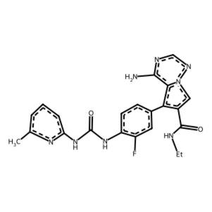 CCNC(=O)c1cn2ncnc(N)c2c1-c1ccc(NC(=O)Nc2cccc(C)n2)c(F)c1